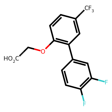 O=C(O)COc1ccc(C(F)(F)F)cc1-c1ccc(F)c(F)c1